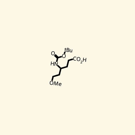 COCCC(CCC(=O)O)NC(=O)OC(C)(C)C